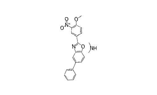 CNC.COc1ccc(-c2nc3cc(-c4ccccc4)ccc3o2)cc1[N+](=O)[O-]